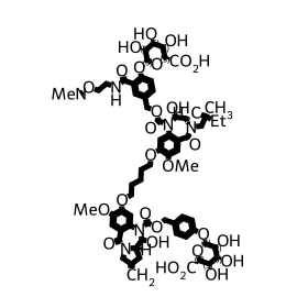 C=C1C[C@H]2C(O)N(C(=O)OCc3ccc(O[C@@H]4O[C@H](C(=O)O)[C@@H](O)[C@H](O)[C@H]4O)cc3)c3cc(OCCCCCOc4cc5c(cc4OC)C(=O)N(CC(C)(C)CC)CC(O)N5C(=O)OCc4ccc(O[C@@H]5O[C@H](C(=O)O)[C@@H](O)[C@H](O)[C@H]5O)c(C(=O)NCCONC)c4)c(OC)cc3C(=O)N2C1